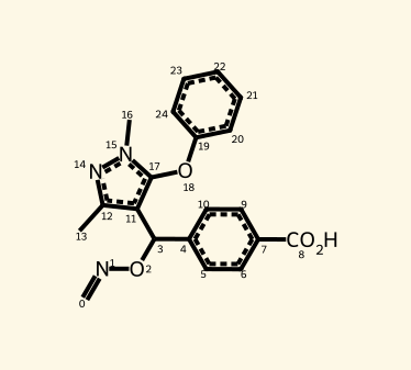 C=NOC(c1ccc(C(=O)O)cc1)c1c(C)nn(C)c1Oc1ccccc1